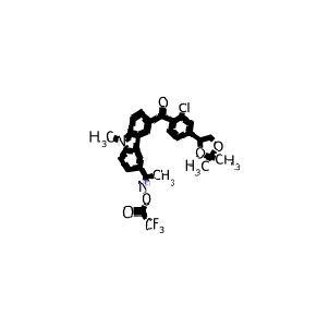 C/C(=N\OC(=O)C(F)(F)F)c1ccc2c(c1)c1cc(C(=O)c3ccc(C4COC(C)(C)O4)cc3Cl)ccc1n2C